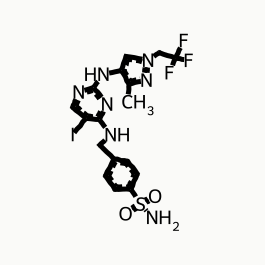 Cc1nn(CC(F)(F)F)cc1Nc1ncc(I)c(NCc2ccc(S(N)(=O)=O)cc2)n1